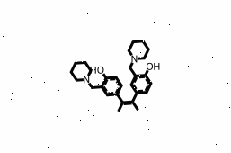 CC(=C(C)c1ccc(O)c(CN2CCCCC2)c1)c1ccc(O)c(CN2CCCCC2)c1